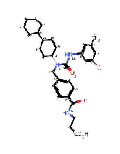 O=C(O)CCNC(=O)c1ccc(CN(C(=O)Nc2cc(Br)cc(C(F)(F)F)c2)[C@H]2CC[C@H](C3CCCCC3)CC2)cc1